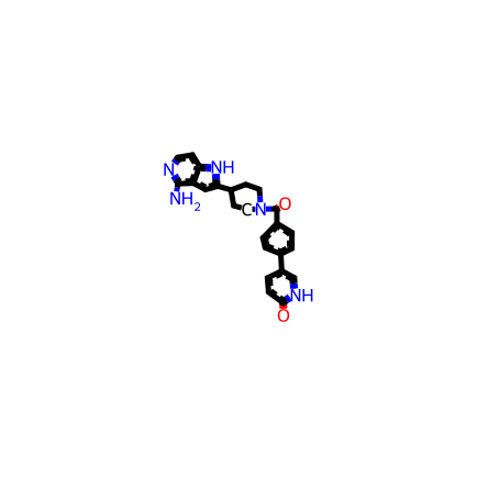 Nc1nccc2[nH]c(C3CCN(C(=O)c4ccc(-c5ccc(=O)[nH]c5)cc4)CC3)cc12